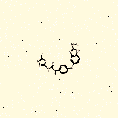 CCc1nnc(NC(=O)Nc2ccc(Oc3ccc4[nH]c(NC(C)=O)nc4c3)cc2)s1